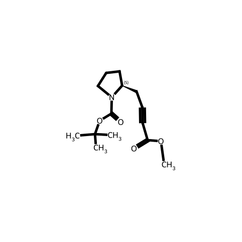 COC(=O)C#CC[C@@H]1CCCN1C(=O)OC(C)(C)C